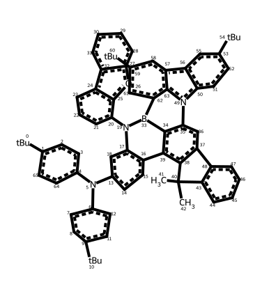 CC(C)(C)c1ccc(N(c2ccc(C(C)(C)C)cc2)c2ccc3c(c2)N(c2cccc4c2oc2ccccc24)B2c4c(cc5c(c4-3)C(C)(C)c3ccccc3-5)-n3c4ccc(C(C)(C)C)cc4c4cc(C(C)(C)C)cc2c43)cc1